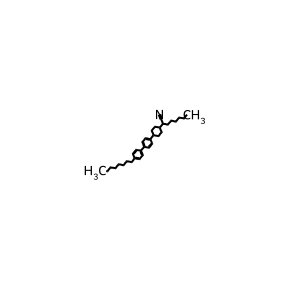 CCCCCCCCc1ccc(-c2ccc(C3CCC(C(C#N)CCCCCC)CC3)cc2)cc1